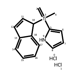 Cl.Cl.[CH2]=[Ti]([CH3])([c]1ccc[nH]1)[CH]1C=Cc2ccccc21